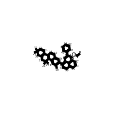 CCOC(=O)C(=Cc1c(-c2cc3ccc4c(c3cc2C)C(C)(C)CC2=C4C=CC(C)(C)C2)ccc2ccccc12)c1ccccc1